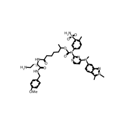 COc1ccc(CNC(=O)[C@H](CCN)NC(=O)CCCCC(C)OC(=O)N(c2ccc(C)c(S(N)(=O)=O)c2)c2nccc(N(C)c3ccc4c(C)n(C)nc4c3)n2)cc1